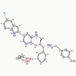 N#Cc1ccc(CCN[C@H](c2ccccc2)[C@@H]2CNc3cc(-c4cc5cc(F)ccc5[nH]4)cnc3O2)cc1.O=CO.O=CO